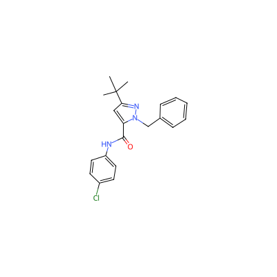 CC(C)(C)c1cc(C(=O)Nc2ccc(Cl)cc2)n(Cc2ccccc2)n1